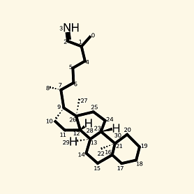 CC(C=N)CCC[C@@H](C)[C@H]1CC[C@H]2[C@@H]3CCC4CCCC[C@]4(C)[C@H]3CC[C@]12C